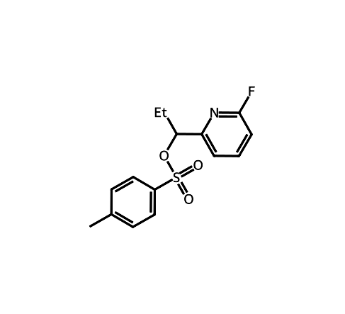 CCC(OS(=O)(=O)c1ccc(C)cc1)c1cccc(F)n1